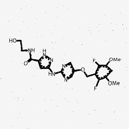 COc1cc(OC)c(F)c(COc2cnc(Nc3cc(C(=O)NCCO)[nH]n3)nc2)c1F